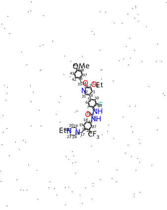 CCOc1cc(-c2ccc(NC(=O)Nc3ccc(CN4CCN(CC)CC4)c(C(F)(F)F)c3)c(F)c2)cnc1OCc1ccc(OC)cc1